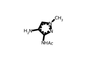 CC(=O)Nc1nn(C)cc1N